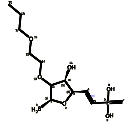 B[C@@H]1O[C@H](/C=C/P(=C)(O)O)[C@H](O)C1OCCOCCC